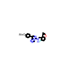 COc1ccc(-c2cnc(NCc3c(F)ccc4c3C3CC3O4)n3cnnc23)cc1